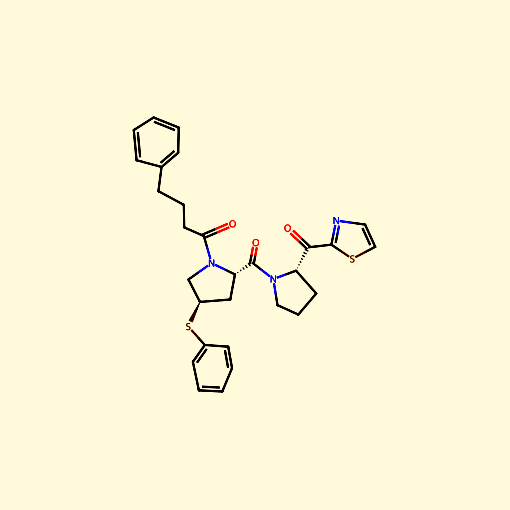 O=C(c1nccs1)[C@@H]1CCCN1C(=O)[C@@H]1C[C@@H](Sc2ccccc2)CN1C(=O)CCCc1ccccc1